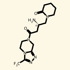 N[C@@H](CC(=O)N1CCn2c(nnc2C(F)(F)F)C1)CN1CCCCC1=O